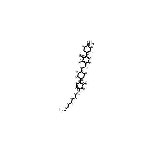 CCCCCCCOc1ccc(C2CCC(CCc3ccc(C4=CCC(C)CC4)c(F)c3F)CC2)c(F)c1